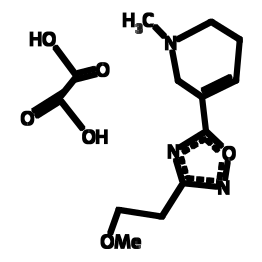 COCCc1noc(C2=CCCN(C)C2)n1.O=C(O)C(=O)O